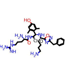 Cc1cc(O)cc(C)c1[C@@H](N[C@H](CCCCN)c1nc(Cc2ccccc2)no1)C(C=O)NC(=O)[C@H](N)CCCNC(=N)N